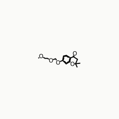 COCCOCOc1ccc2c(c1)OC(C)(C)CC2=O